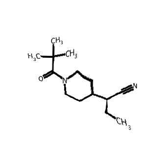 CC[C@H](C#N)C1CCN(C(=O)C(C)(C)C)CC1